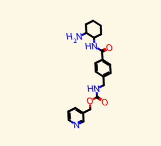 NC1CCCCC1NC(=O)c1ccc(CNC(=O)OCc2cccnc2)cc1